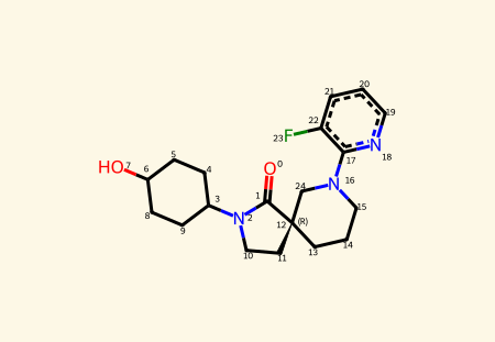 O=C1N(C2CCC(O)CC2)CC[C@@]12CCCN(c1ncccc1F)C2